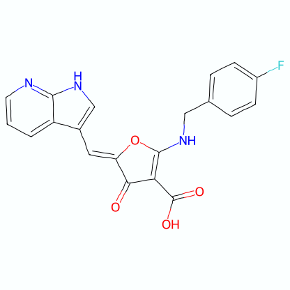 O=C(O)C1=C(NCc2ccc(F)cc2)O/C(=C\c2c[nH]c3ncccc23)C1=O